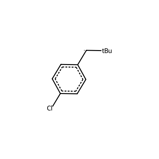 CC(C)(C)[CH]c1ccc(Cl)cc1